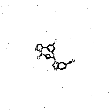 N#Cc1ccc2ncn(CC34CC(C(=O)N5N=CCC5c5cc(F)cc(F)c5)(C3)C4)c2c1